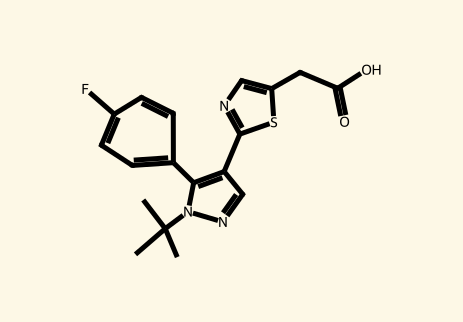 CC(C)(C)n1ncc(-c2ncc(CC(=O)O)s2)c1-c1ccc(F)cc1